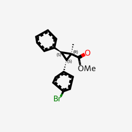 COC(=O)[C@]1(C)[C@H](c2ccccc2)[C@H]1c1ccc(Br)cc1